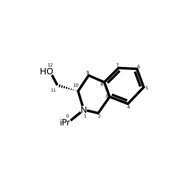 CC(C)N1Cc2ccccc2C[C@H]1CO